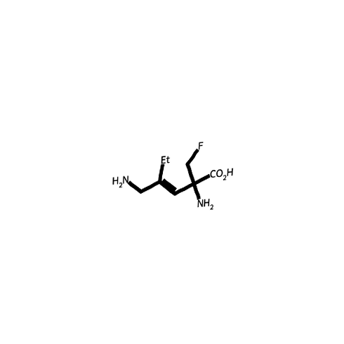 CC/C(=C\C(N)(CF)C(=O)O)CN